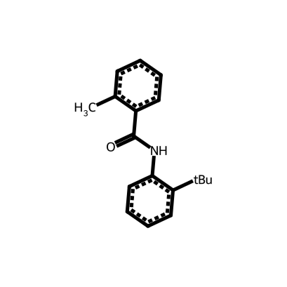 Cc1ccccc1C(=O)Nc1ccccc1C(C)(C)C